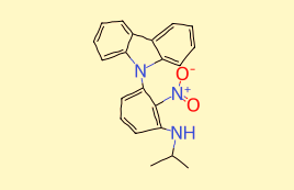 CC(C)Nc1cccc(-n2c3ccccc3c3ccccc32)c1[N+](=O)[O-]